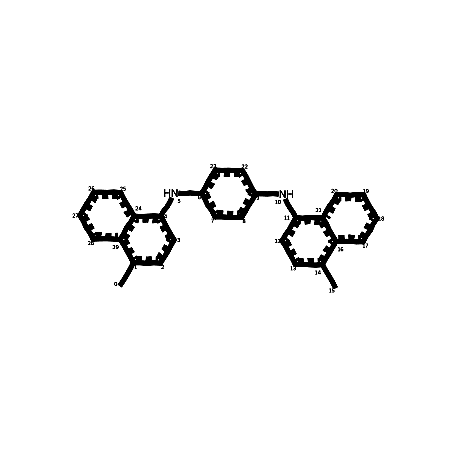 Cc1ccc(Nc2ccc(Nc3ccc(C)c4ccccc34)cc2)c2ccccc12